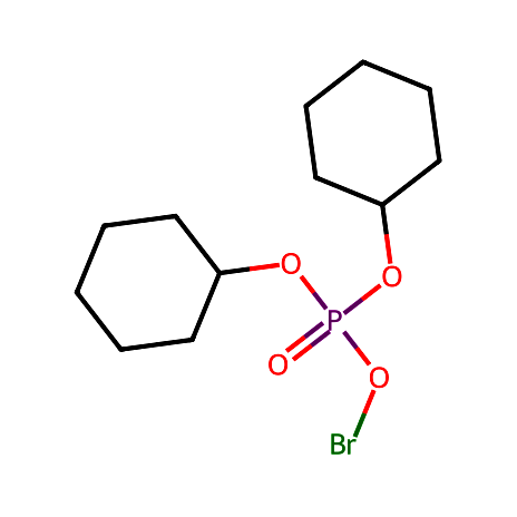 O=P(OBr)(OC1CCCCC1)OC1CCCCC1